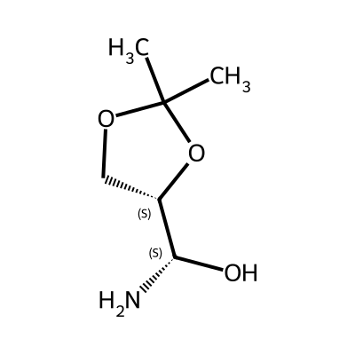 CC1(C)OC[C@@H]([C@@H](N)O)O1